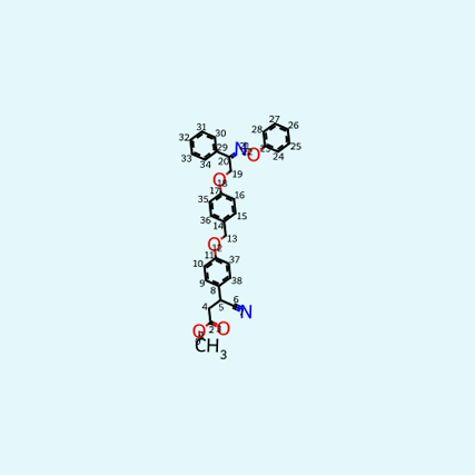 COC(=O)CC(C#N)c1ccc(OCc2ccc(OC/C(=N\Oc3ccccc3)c3ccccc3)cc2)cc1